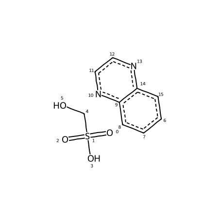 O=S(=O)(O)CO.c1ccc2nccnc2c1